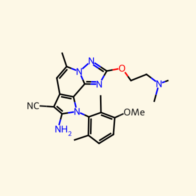 COc1ccc(C)c(-n2c(N)c(C#N)c3cc(C)n4nc(OCCN(C)C)nc4c32)c1C